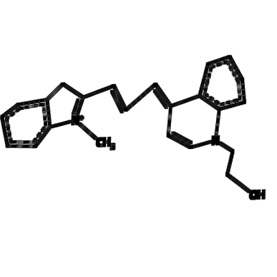 C[N+]1=C(C=CC=C2C=CN(CCO)c3ccccc32)Cc2ccccc21